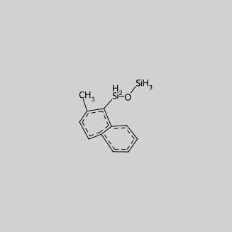 Cc1ccc2ccccc2c1[SiH2]O[SiH3]